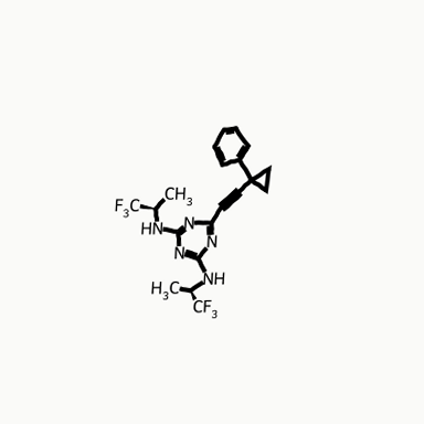 C[C@@H](Nc1nc(C#CC2(c3ccccc3)CC2)nc(N[C@H](C)C(F)(F)F)n1)C(F)(F)F